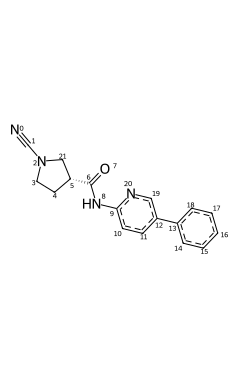 N#CN1CC[C@@H](C(=O)Nc2ccc(-c3ccccc3)cn2)C1